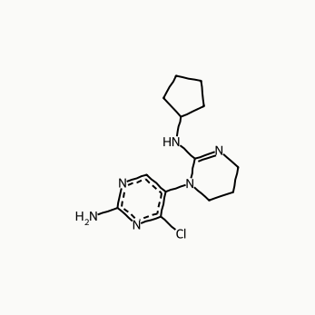 Nc1ncc(N2CCCN=C2NC2CCCC2)c(Cl)n1